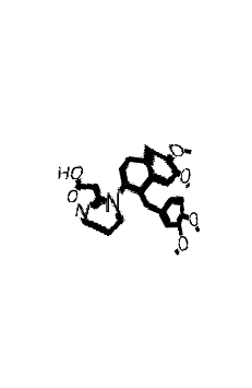 COc1ccc(CC2c3cc(OC)c(OC)cc3CCC2N2CC=CN=C2CC(=O)O)cc1OC